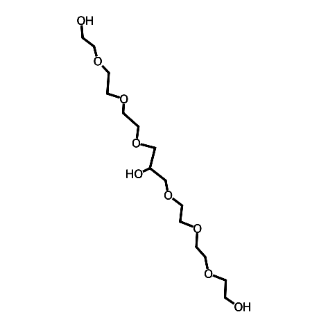 OCCOCCOCCOCC(O)COCCOCCOCCO